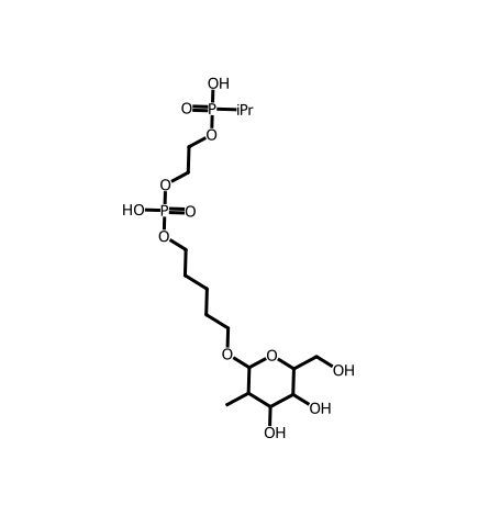 CC1C(OCCCCCOP(=O)(O)OCCOP(=O)(O)C(C)C)OC(CO)C(O)C1O